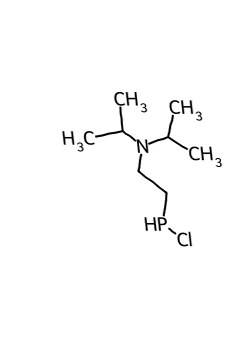 CC(C)N(CCPCl)C(C)C